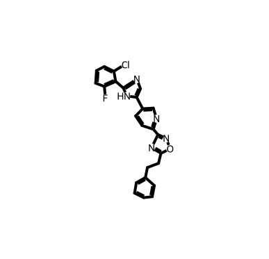 Fc1cccc(Cl)c1-c1ncc(-c2ccc(-c3noc(CCc4ccccc4)n3)nc2)[nH]1